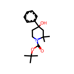 CC(C)(C)OC(=O)N1CCC(O)(c2ccccc2)CC1(C)C